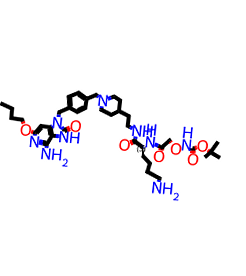 CCCCOc1cc2c([nH]c(=O)n2Cc2ccc(CN3CCC(CCNC(=O)[C@H](CCCCN)NC(=O)CONC(=O)OC(C)(C)C)CC3)cc2)c(N)n1